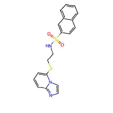 O=S(=O)(NCCSc1cccc2nccn12)c1ccc2ccccc2c1